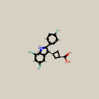 O=C(O)[C@H]1C[C@@H](c2c(-c3ccc(F)cc3)[nH]c3c(F)cc(F)cc32)C1